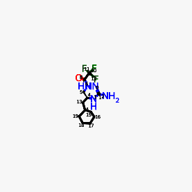 N=C(N)N[C@H](CNC(=O)C(F)(F)F)CC1CCCCC1